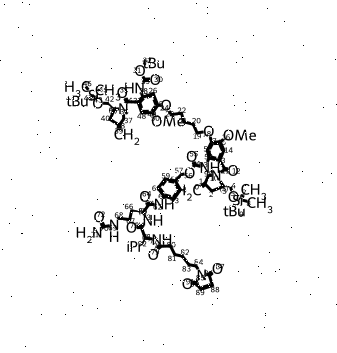 C=C1C[C@@H](CO[Si](C)(C)C(C)(C)C)N(C(=O)c2cc(OC)c(OCCCCCOc3cc(NC(=O)OC(C)(C)C)c(C(=O)N4CC(=C)C[C@H]4CO[Si](C)(C)C(C)(C)C)cc3OC)cc2NC(=O)OCc2ccc(NC(=O)[C@H](CCCNC(N)=O)NC(=O)[C@@H](NC(=O)CCCCCN3C(=O)C=CC3=O)C(C)C)cc2)C1